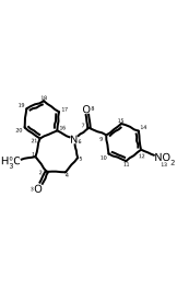 CC1C(=O)CCN(C(=O)c2ccc([N+](=O)[O-])cc2)c2ccccc21